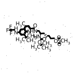 Cc1cc(C(=O)NCC(CSCCCOS(C)(=O)=O)NC(=O)OC(C)(C)C)nc2c(C(C)(C)C)cc(NCC(F)(F)F)cc12